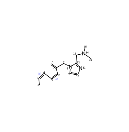 C=C(/C=C\C=C/C)Cn1ccnc1CN(C)C